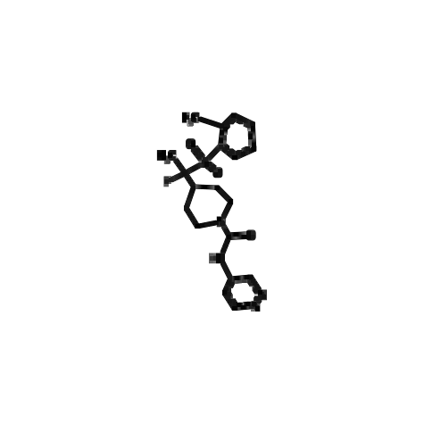 CC(F)(C1CCN(C(=O)Nc2ccnnc2)CC1)S(=O)(=O)c1ccccc1C(F)(F)F